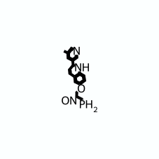 Cc1cncc(C2C=Cc3cc(OCC(CP)N=O)ccc3N2)c1